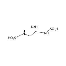 O=S(=O)(O)NCCNS(=O)(=O)O.[NaH]